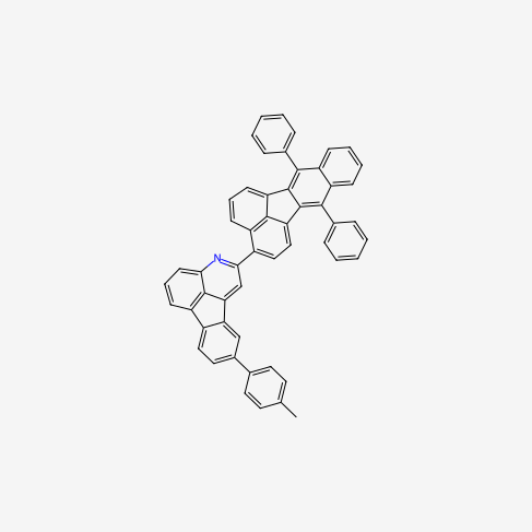 Cc1ccc(-c2ccc3c(c2)-c2cc(-c4ccc5c6c(cccc46)-c4c-5c(-c5ccccc5)c5ccccc5c4-c4ccccc4)nc4cccc-3c24)cc1